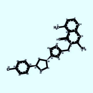 Cc1ccnc2nc(N)n(Cc3nc([C@@H]4CO[C@@H](c5ccc(Cl)cc5)C4)no3)c(=O)c12